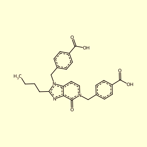 CCCCc1nc2c(=O)n(Cc3ccc(C(=O)O)cc3)ccc2n1Cc1ccc(C(=O)O)cc1